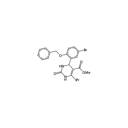 COC(=O)C1=C(C(C)C)NC(=O)NC1c1cc(Br)ccc1OCc1ccccc1